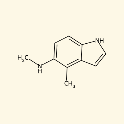 CNc1ccc2[nH]ccc2c1C